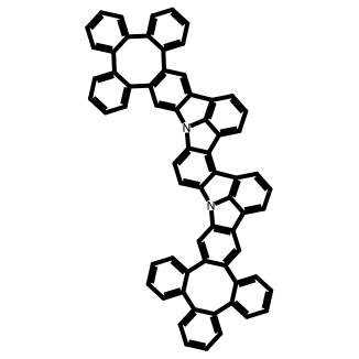 c1ccc2c(c1)-c1ccccc1-c1cc3c4cccc5c6c7c8cccc9c%10cc%11c(cc%10n(c7ccc6n(c3cc1-c1ccccc1-2)c45)c98)-c1ccccc1-c1ccccc1-c1ccccc1-%11